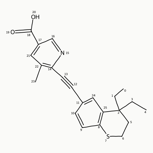 CCC1(CC)CCSc2ccc(C#Cc3ncc(C(=O)O)cc3C)cc21